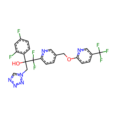 OC(Cn1cnnn1)(c1ccc(F)cc1F)C(F)(F)c1ccc(COc2ccc(C(F)(F)F)cn2)cn1